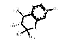 CC1(C)Oc2c[n+]([O-])ccc2[C@H](N)[C@H]1O